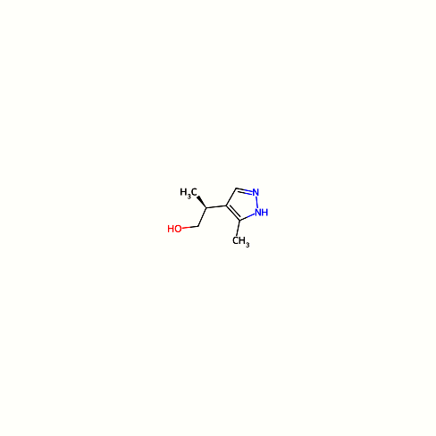 Cc1[nH]ncc1[C@H](C)CO